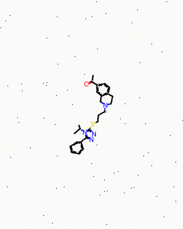 CC(=O)c1ccc2c(c1)CN(CCCSc1nnc(-c3ccccc3)n1C(C)C)CC2